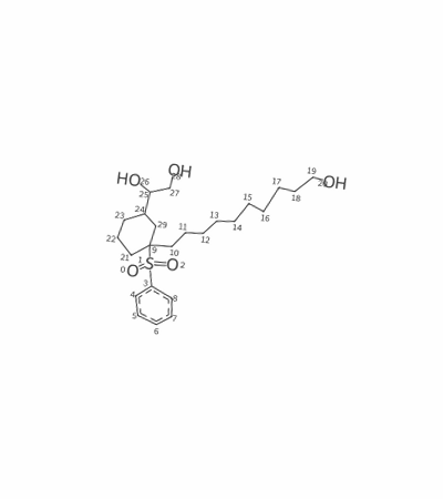 O=S(=O)(c1ccccc1)C1(CCCCCCCCCCO)CCCC(C(O)CO)C1